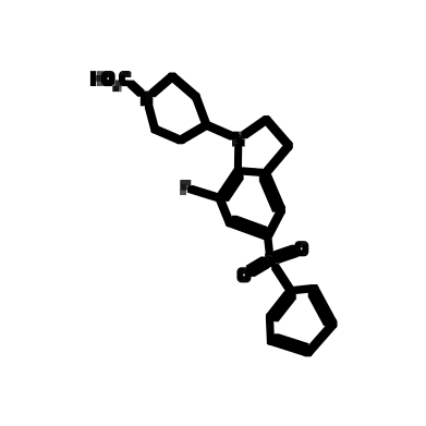 O=C(O)N1CCC(N2CCc3cc(S(=O)(=O)c4ccccc4)cc(F)c32)CC1